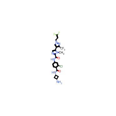 Cn1c(-c2cn(CC=C(F)F)nc2C(F)(F)F)cnc1C(=O)Nc1ccc(C(=O)N[C@H]2C[C@@H](N)C2)c(Cl)c1